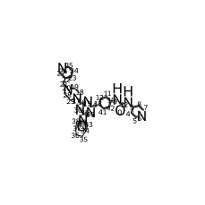 O=C(Nc1ccncc1)Nc1ccc(-c2nc(N3CCN(Cc4cccnc4)CC3)nc(N3CC4CCC(C3)O4)n2)cc1